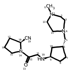 CN1CCN(C[C@@H]2CC[C@@H](NCC(=O)N3CCC[C@H]3C#N)C2)CC1